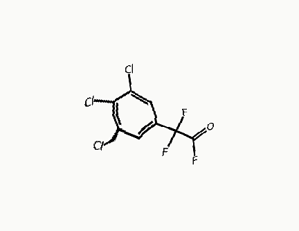 O=C(F)C(F)(F)c1cc(Cl)c(Cl)c(Cl)c1